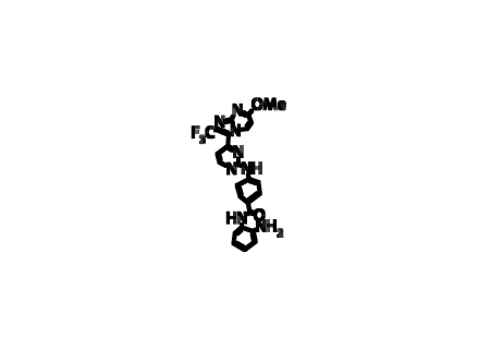 COc1ccn2c(-c3ccnc(Nc4ccc(C(=O)Nc5ccccc5N)cc4)n3)c(C(F)(F)F)nc2n1